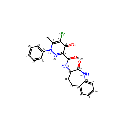 Cc1c(Br)c(=O)c(C(=O)NC2CCc3ccccc3NC2=O)nn1-c1ccccc1